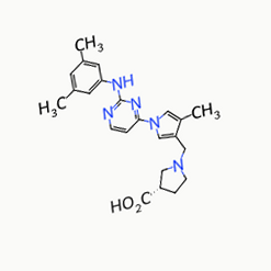 Cc1cc(C)cc(Nc2nccc(-n3cc(C)c(CN4CC[C@H](C(=O)O)C4)c3)n2)c1